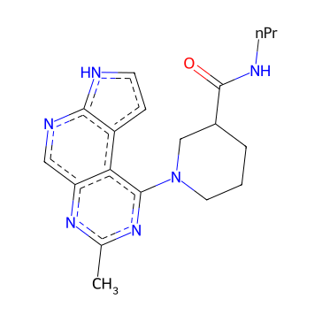 CCCNC(=O)C1CCCN(c2nc(C)nc3cnc4[nH]ccc4c23)C1